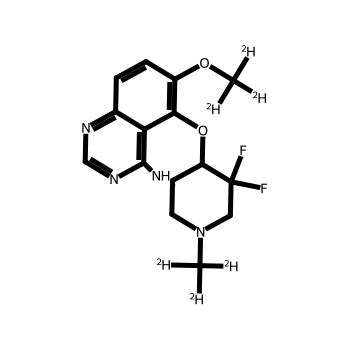 [2H]C([2H])([2H])Oc1ccc2ncnc(N)c2c1OC1CCN(C([2H])([2H])[2H])CC1(F)F